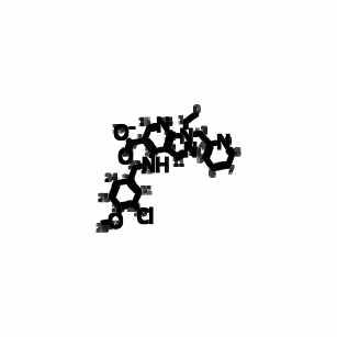 CC[N+]1(Cc2ccccn2)N=Cc2c1ncc(C(=O)[O-])c2NCc1ccc(OC)c(Cl)c1